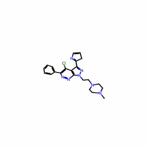 CN1CCN(CCn2nc(C3=NC=CC3)c3c(Cl)c(-c4ccccc4)nnc32)CC1